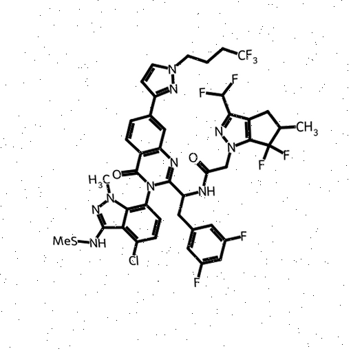 CSNc1nn(C)c2c(-n3c(C(Cc4cc(F)cc(F)c4)NC(=O)Cn4nc(C(F)F)c5c4C(F)(F)C(C)C5)nc4cc(-c5ccn(CCCC(F)(F)F)n5)ccc4c3=O)ccc(Cl)c12